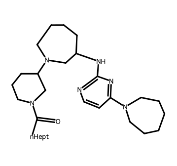 CCCCCCCC(=O)N1CCCC(N2CCCCC(Nc3nccc(N4CCCCCC4)n3)C2)C1